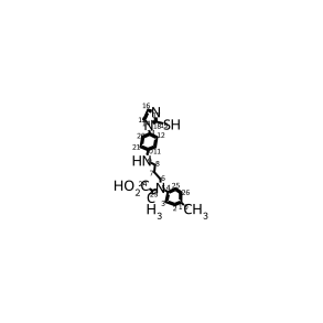 Cc1ccc(N(CCCNc2ccc(-n3ccnc3S)cc2)C(C)C(=O)O)cc1